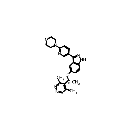 Cc1cnnc(C)c1[C@@H](C)Oc1ccc2[nH]nc(-c3ccc(N4CCOCC4)nc3)c2c1